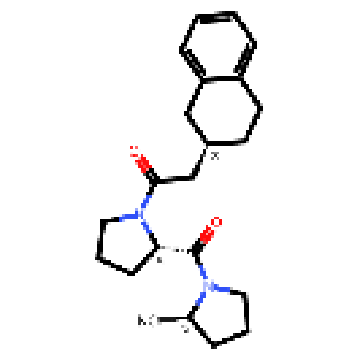 N#C[C@@H]1CCCN1C(=O)[C@@H]1CCCN1C(=O)C[C@@H]1CCc2ccccc2C1